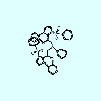 O=S(=O)(c1ccccc1)n1ccc2c3ccccc3nc(CN(Cc3nc4ccccc4c4ccn(S(=O)(=O)c5ccccc5)c34)c3ccccc3)c21